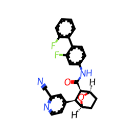 N#Cc1cc([C@H]2[C@@H](C(=O)Nc3ccc(-c4ccccc4F)c(F)c3)[C@H]3CC[C@@H]2O3)ccn1